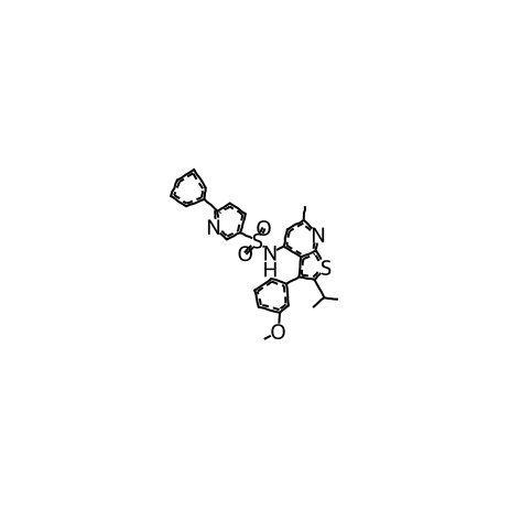 COc1cccc(-c2c(C(C)C)sc3nc(C)cc(NS(=O)(=O)c4ccc(-c5ccccc5)nc4)c23)c1